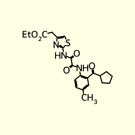 CCOC(=O)Cc1csc(NC(=O)C(=O)Nc2ccc(C)cc2C(=O)C2CCCC2)n1